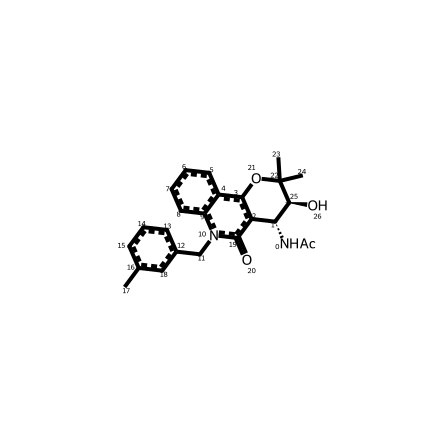 CC(=O)N[C@@H]1c2c(c3ccccc3n(Cc3cccc(C)c3)c2=O)OC(C)(C)[C@H]1O